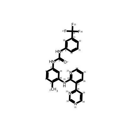 Cc1ccc(NC(=O)Nc2cccc(C(F)(F)F)c2)cc1Nc1ncccc1-c1ccncn1